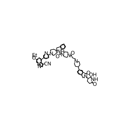 CCOc1cc(-c2ccc(N3CCC(Cc4ccccc4)(NC(=O)N4CCN(C(=O)CCN5CCC(c6ccc7c(c6)C(=O)N(C6CCC(=O)NC6O)C7)CC5)CC4)CC3)nc2)c2c(C#N)cnn2c1